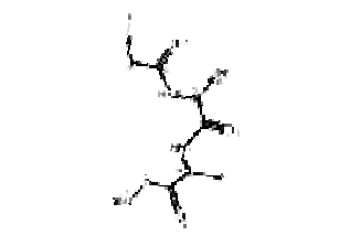 CCCCOC(=O)[C@H](C)NC(=O)[C@@H](NC(=O)CI)C(C)C